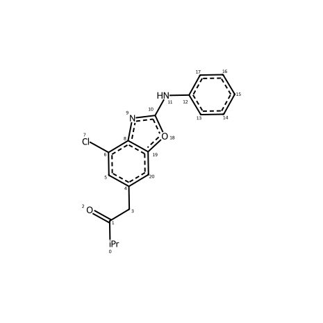 CC(C)C(=O)Cc1cc(Cl)c2nc(Nc3ccccc3)oc2c1